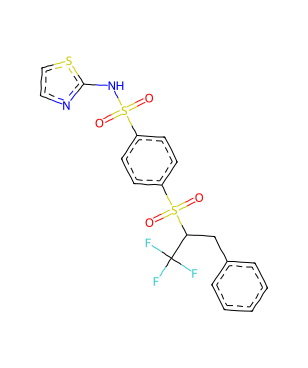 O=S(=O)(Nc1nccs1)c1ccc(S(=O)(=O)C(Cc2ccccc2)C(F)(F)F)cc1